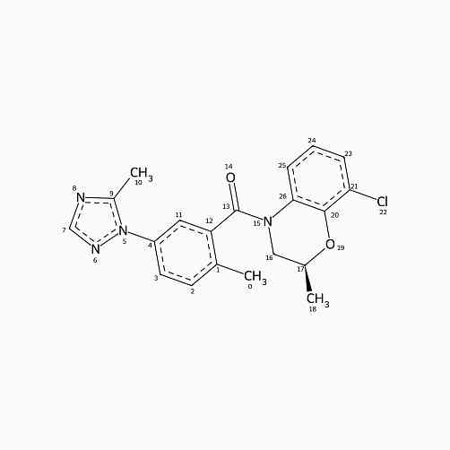 Cc1ccc(-n2ncnc2C)cc1C(=O)N1C[C@H](C)Oc2c(Cl)cccc21